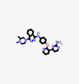 CC1CN(c2nnc(Nc3ccc(Oc4ncccc4-c4ccnc(N)n4)cc3)c3ccccc23)CCN1C